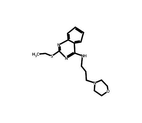 CCSc1nc(NCCCN2CCOCC2)c2ccccc2n1